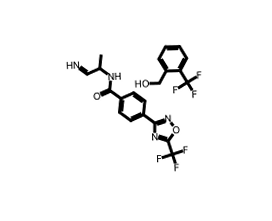 CC(C=N)NC(=O)c1ccc(-c2noc(C(F)(F)F)n2)cc1.OCc1ccccc1C(F)(F)F